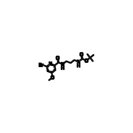 COc1cc(Br)nc(C(=O)NCCCNC(=O)OC(C)(C)C)c1